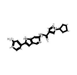 Cc1cc(-c2cc3cnc(NC(=O)c4cnn(C5CCCC5)c4)cc3[nH]2)ccn1